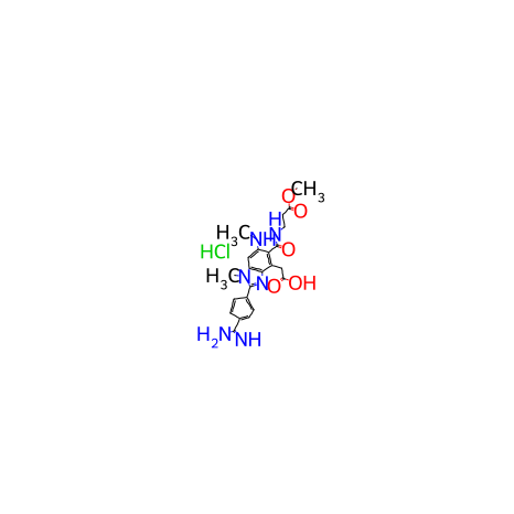 CNc1cc2c(nc(-c3ccc(C(=N)N)cc3)n2C)c(CC(=O)O)c1C(=O)NCCC(=O)OC.Cl